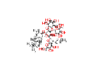 C=C1CC2CCC3C(C)(C)CCC[C@@]3(C)[C@@H]2CCC1OC1OC(COC2OC(CO)C(O)C(O)C2CCCCC)C(O)C(OC2OC(CO)C(O)C(O)C2O)C1OC1CC(CO)C(O)C(O)C1O